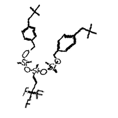 CC(C)(C)Cc1ccc(CO[Si](C)(C)O[Si](C)(CCC(F)(F)F)O[Si](C)(C)OCc2ccc(CC(C)(C)C)cc2)cc1